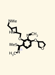 C=Nc1c(OC2CCOC2)ccc(/C(=N/C)SC)c1OCC1CC(CNC)N1